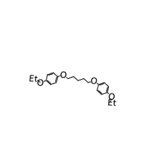 CCOc1ccc(OCCCCCOc2ccc(OCC)cc2)cc1